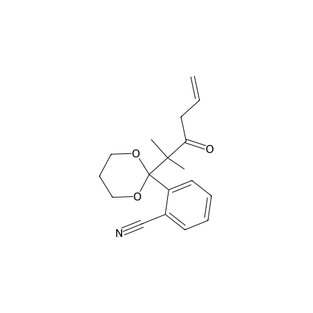 C=CCC(=O)C(C)(C)C1(c2ccccc2C#N)OCCCO1